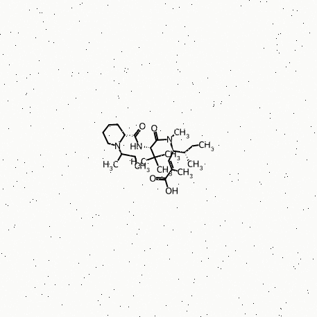 CCC(C)N1CCCC[C@@H]1C(=O)N[C@H](C(=O)N(C)[C@H](/C=C(\C)C(=O)O)[C@@H](C)CC)C(C)(C)C